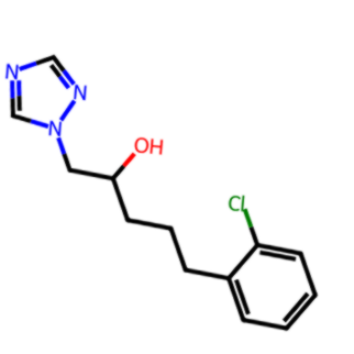 OC(CCCc1ccccc1Cl)Cn1cncn1